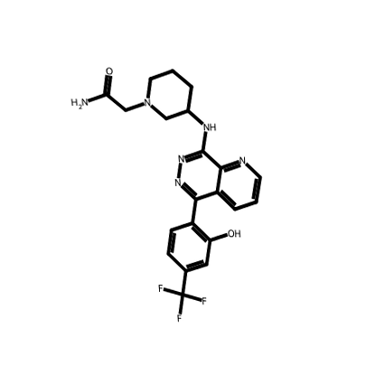 NC(=O)CN1CCCC(Nc2nnc(-c3ccc(C(F)(F)F)cc3O)c3cccnc23)C1